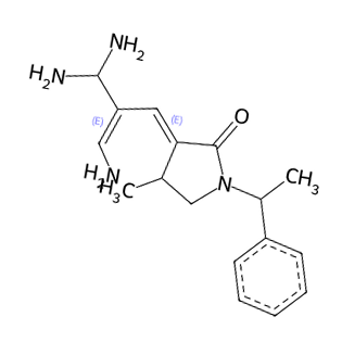 CC1CN(C(C)c2ccccc2)C(=O)/C1=C/C(=C\N)C(N)N